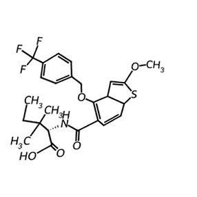 CCC(C)(C)[C@H](NC(=O)C1=C(OCc2ccc(C(F)(F)F)cc2)C2C=C(OC)SC2C=C1)C(=O)O